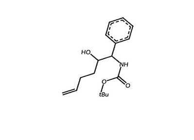 C=CCCC(O)C(NC(=O)OC(C)(C)C)c1ccccc1